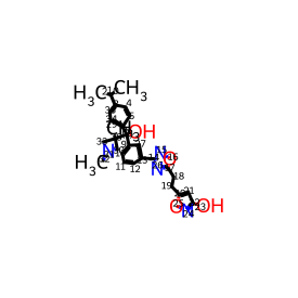 CC(C)c1ccc([C@@](O)(c2cccc(-c3noc(CCc4cc(O)no4)n3)c2)C2(C)CN(C)C2)cc1